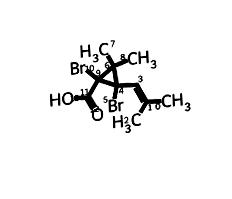 CC(C)=CC1(Br)C(C)(C)C1(Br)C(=O)O